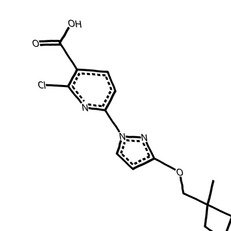 CC1(COc2ccn(-c3ccc(C(=O)O)c(Cl)n3)n2)CCC1